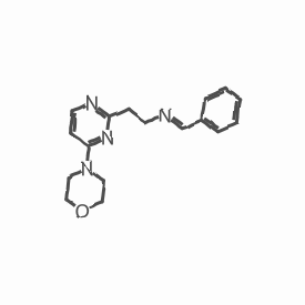 C(=N\CCc1nccc(N2CCOCC2)n1)/c1ccccc1